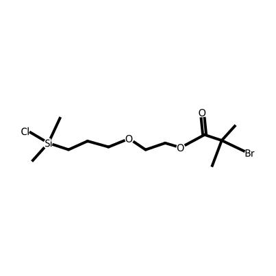 CC(C)(Br)C(=O)OCCOCCC[Si](C)(C)Cl